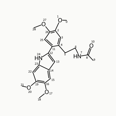 COc1cc(CCNC(C)=O)c(-c2cc3cc(OC)c(OC)cc3[nH]2)cc1OC